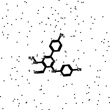 N#Cc1ccc(Nc2nc(-c3ccc(C(F)(F)F)cc3)nc(NN)c2C=N)cc1